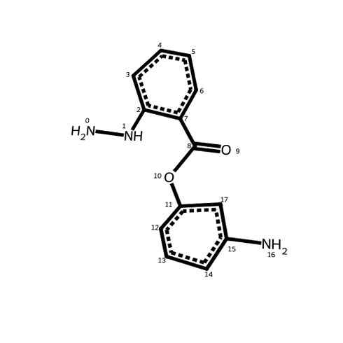 NNc1ccccc1C(=O)Oc1cccc(N)c1